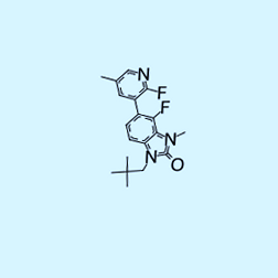 Cc1cnc(F)c(-c2ccc3c(c2F)n(C)c(=O)n3CC(C)(C)C)c1